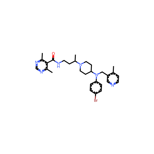 Cc1ccncc1CN(c1ccc(Br)cc1)C1CCN(C(C)CCNC(=O)c2c(C)ncnc2C)CC1